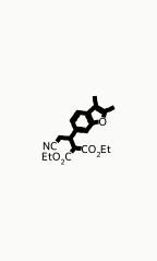 CCOC(=O)C(C(=O)OCC)C(CC#N)c1ccc2c(C)c(C)oc2c1